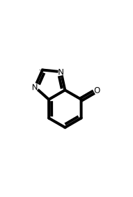 O=C1C=CC=C2N=[C]N=C12